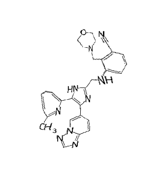 Cc1cccc(-c2[nH]c(CNc3cccc(C#N)c3CN3CCOCC3)nc2-c2ccc3ncnn3c2)n1